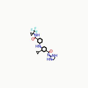 O=C(N=C1NCCN1)c1ccc(Nc2cccc(C(=O)NC3(C(F)(F)F)CC3)c2)c(C2CC2)c1